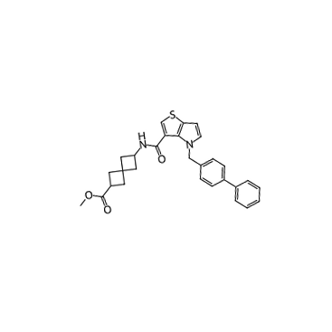 COC(=O)C1CC2(CC(NC(=O)c3csc4ccn(Cc5ccc(-c6ccccc6)cc5)c34)C2)C1